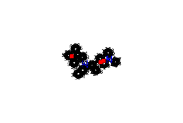 c1ccc(N(c2ccccc2)c2ccccc2-c2ccc(-c3cc4c(c5ccccc35)c3cc5ccccc5cc3n4-c3ccc4c(c3)C(c3ccccc3)(c3ccccc3)c3ccccc3-4)cc2)cc1